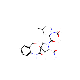 CC(C)C[C@@H](C(=O)N1CC2(C[C@H]1C(N)=O)OCc1ccccc1NC2=O)N(C)C(=O)O